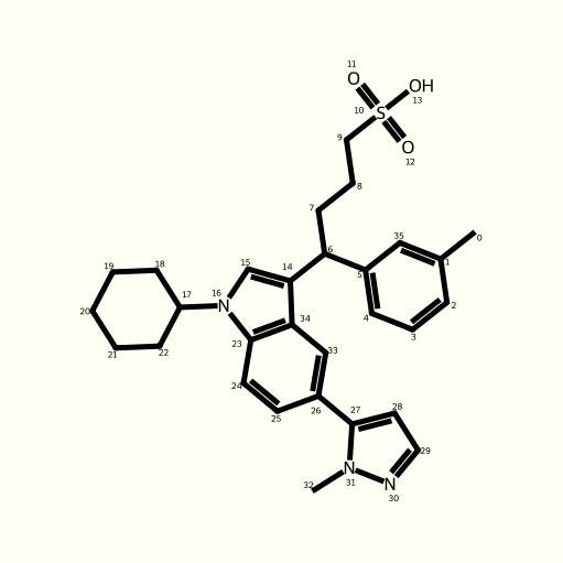 Cc1cccc(C(CCCS(=O)(=O)O)c2cn(C3CCCCC3)c3ccc(-c4ccnn4C)cc23)c1